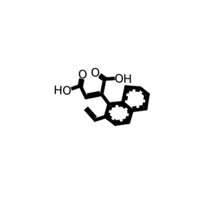 C=Cc1ccc2ccccc2c1C(=CC(=O)O)C(=O)O